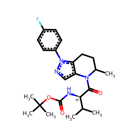 CC(C)[C@@H](NC(=O)OC(C)(C)C)C(=O)N1c2cnn(-c3ccc(F)cc3)c2CCC1C